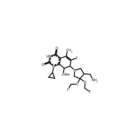 COC1c2c(c(=O)[nH]c(=O)n2C2CC2)C(C)=C(F)C1N1CC(CN)C(OCF)(OCF)C1